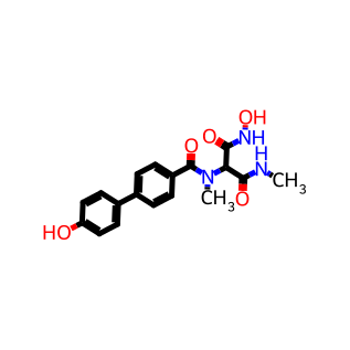 CNC(=O)C(C(=O)NO)N(C)C(=O)c1ccc(-c2ccc(O)cc2)cc1